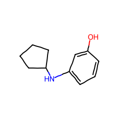 Oc1cccc(NC2CCCC2)c1